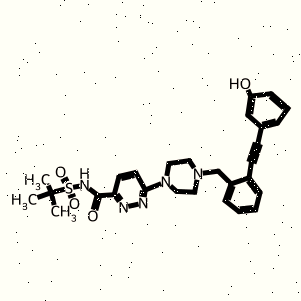 CC(C)(C)S(=O)(=O)NC(=O)c1ccc(N2CCN(Cc3ccccc3C#Cc3cccc(O)c3)CC2)nn1